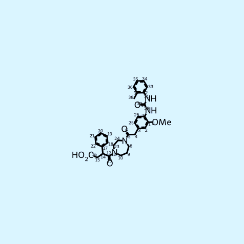 COc1cc(CC(=O)N2CCCN(C(=O)C(CC(=O)O)c3ccccc3)CC2)ccc1NC(=O)Nc1ccccc1C